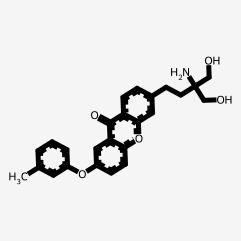 Cc1cccc(Oc2ccc3oc4cc(CCC(N)(CO)CO)ccc4c(=O)c3c2)c1